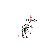 C#C[C@@](C)(O)CCC[C@H]1CC[C@H]2[C@@H]3CC=C4C[C@@](C)(O)CC[C@]4(C)[C@H]3CC[C@]12C